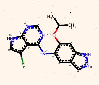 CC(C)Oc1cc2[nH]ncc2cc1Nc1ncnc2[nH]cc(Br)c12